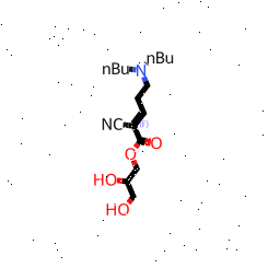 CCCCN(CC/C=C(\C#N)C(=O)OCC(O)CO)CCCC